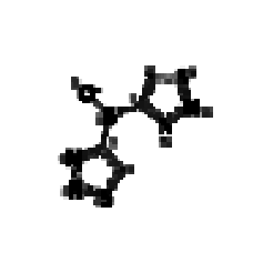 [O-][S+](c1csnn1)c1csnn1